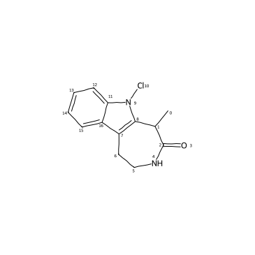 CC1C(=O)NCCc2c1n(Cl)c1ccccc21